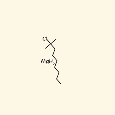 CCCCCCCC(C)(C)Cl.[MgH2]